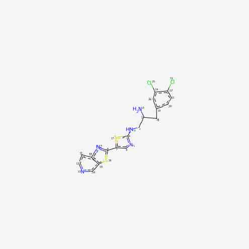 NC(CNc1ncc(-c2nc3ccncc3s2)s1)Cc1ccc(Cl)c(Cl)c1